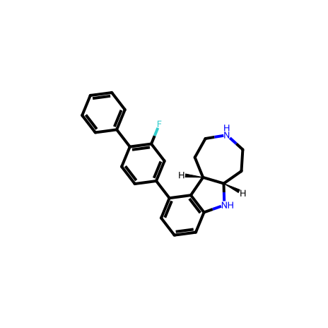 Fc1cc(-c2cccc3c2[C@@H]2CCNCC[C@@H]2N3)ccc1-c1ccccc1